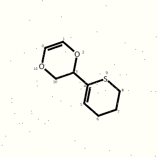 C1=COC(C2=CCCCS2)CO1